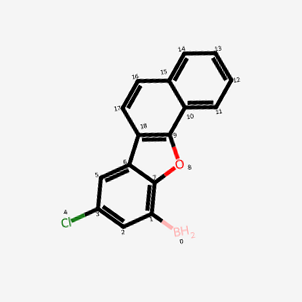 Bc1cc(Cl)cc2c1oc1c3ccccc3ccc21